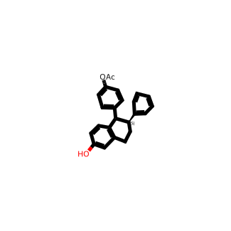 CC(=O)Oc1ccc(C2c3ccc(O)cc3CC[C@@H]2c2ccccc2)cc1